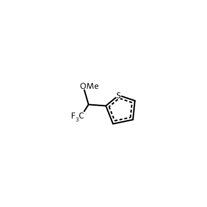 COC(c1cccs1)C(F)(F)F